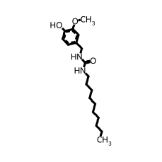 CCCCCCCCCCNC(=O)NCc1ccc(O)c(OC)c1